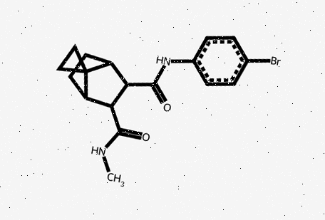 CNC(=O)C1C(C(=O)Nc2ccc(Br)cc2)C2CCC1C21CC1